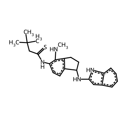 CNc1c(NC(=S)CC(C)(C)C)ccc2c1CCC2Nc1cc2ccccc2[nH]1